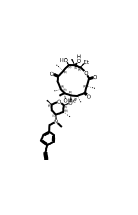 C#Cc1ccc(CN(C)[C@H]2C[C@@H](C)O[C@@H](O[C@@H]3[C@@H](C)C(=O)[C@@H](C)C(=O)O[C@H](CC)[C@@](C)(O)[C@H](O)[C@@H](C)C(=O)C[C@@H](C)[C@@]3(C)OC)[C@@H]2C)cc1